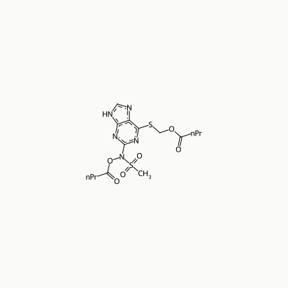 CCCC(=O)OCSc1nc(N(OC(=O)CCC)S(C)(=O)=O)nc2[nH]cnc12